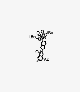 CC(=O)c1cc(C)cc2c1CN(C1Cc3ccc(S(=O)(=O)N(C(=O)OC(C)(C)C)C(=O)OC(C)(C)C)cc3C1)C2=O